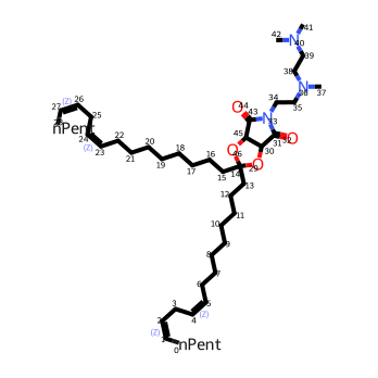 CCCCC/C=C\C/C=C\CCCCCCCCC1(CCCCCCCC/C=C\C/C=C\CCCCC)OC2C(=O)N(CCN(C)CCN(C)C)C(=O)C2O1